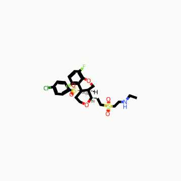 CCNCCS(=O)(=O)CC[C@@H]1OCC[C@@]2(S(=O)(=O)c3ccc(Cl)cc3)c3c(F)ccc(F)c3OC[C@@H]12